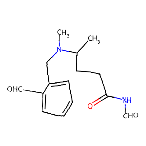 CC(CCC(=O)NC=O)N(C)Cc1ccccc1C=O